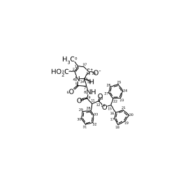 CC1=C(C(=O)O)N2C(=O)C(NC(=O)C(C(=O)OC(c3ccccc3)c3ccccc3)c3ccccc3)[C@H]2[S+]([O-])C1